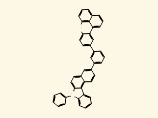 c1ccc(-n2c3ccccc3c3c4ccc(-c5cccc(-c6ccc7c(c6)-c6cccc8cccc(c68)O7)c5)cc4ccc32)cc1